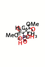 COC(=O)C(C(C)(C)C(=O)OC)P(=O)(O)O